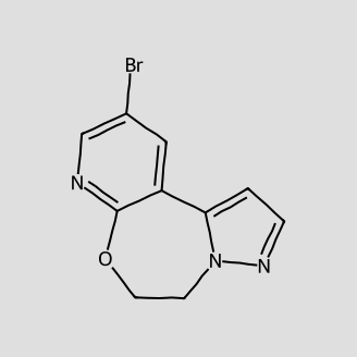 Brc1cnc2c(c1)-c1ccnn1CCO2